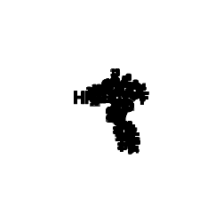 CCc1ccc(F)cc1-n1c(C=C(C)C)c(C(=O)N2CCNCC2)cc(-c2nc(-c3ccc(C(F)(F)F)nc3)cs2)c1=O